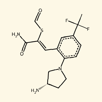 CC(F)(F)c1ccc(N2CC[C@H](N)C2)c(/C=C(\SC=O)C(N)=O)c1